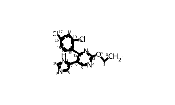 [CH2]COc1ncc(-c2cnc[nH]2)c(-c2ccc(Cl)cc2Cl)n1